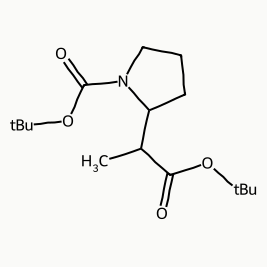 CC(C(=O)OC(C)(C)C)C1CCCN1C(=O)OC(C)(C)C